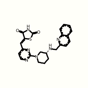 O=C1NC(=O)C(=Cc2ccnc(N3CCC[C@@H](NCc4ccc5ccccc5n4)C3)n2)S1